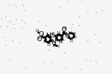 CCN(c1ccc(C(=O)OC)cc1)c1ccc(C(=O)N2CCCCC2)cc1S